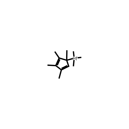 CC1=C[C](C)([Hf]([CH3])([CH3])[CH3])C(C)=C1C